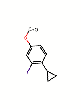 O=COc1ccc(C2CC2)c(I)c1